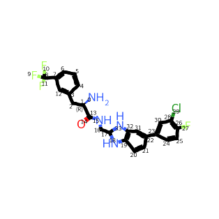 N[C@H](Cc1cccc(C(F)(F)F)c1)C(=O)NCC1Nc2ccc(-c3ccc(F)c(Cl)c3)cc2N1